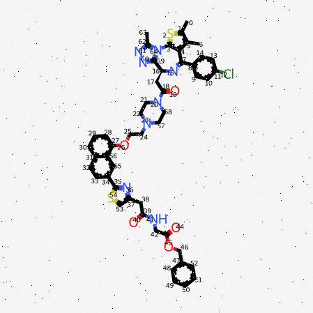 Cc1sc2c(c1C)C(c1ccc(Cl)cc1)=N[C@@H](CC(=O)N1CCN(CCOc3cccc4ccc(-c5nc(CC(=O)NCC(=O)OCc6ccccc6)cs5)cc34)CC1)c1nnc(C)n1-2